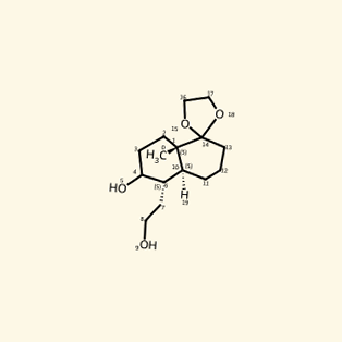 C[C@]12CCC(O)[C@@H](CCO)[C@@H]1CCCC21OCCO1